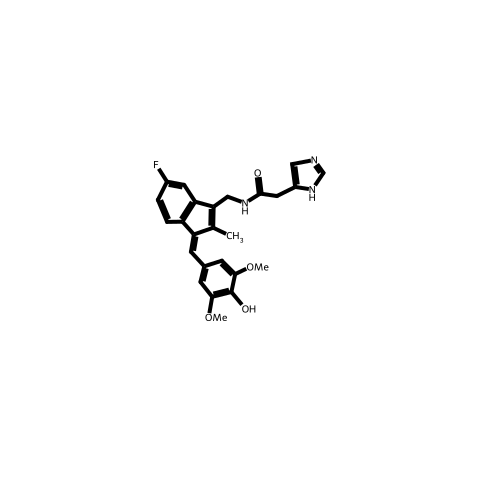 COc1cc(C=C2C(C)=C(CNC(=O)Cc3cnc[nH]3)c3cc(F)ccc32)cc(OC)c1O